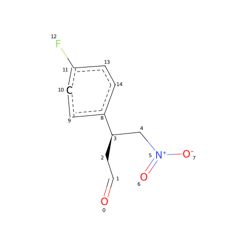 O=CC[C@H](C[N+](=O)[O-])c1ccc(F)cc1